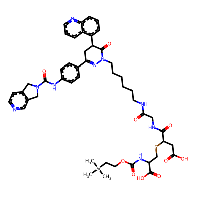 C[Si](C)(C)CCOC(=O)NC(CSC(CC(=O)O)C(=O)NCC(=O)NCCCCCCN1N=C(c2ccc(NC(=O)N3Cc4ccncc4C3)cc2)CC(c2cccc3ncccc23)C1=O)C(=O)O